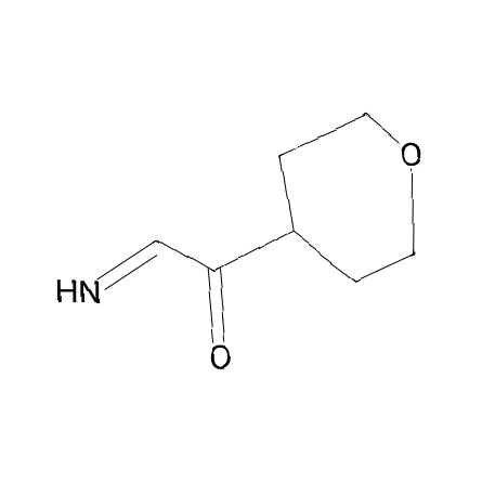 N=CC(=O)C1CCOCC1